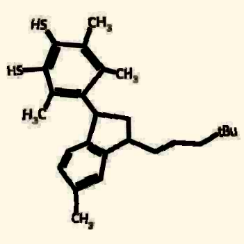 Cc1ccc2c(c1)C(CCCC(C)(C)C)CC2c1c(C)c(C)c(S)c(S)c1C